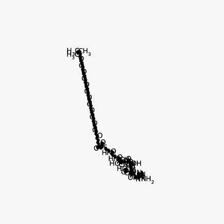 CC(C)(C)CCOCCOCCOCCOCCOCCOCCOCCOCCOCCOCCOCCOCCC(=O)CCCN1C(=O)CC(SCCNC(=O)CCNC(=O)[C@H](O)C(C)(C)COP(=O)(O)OP(=O)(O)OC[C@H]2O[C@@H](n3cnc4c(N)ncnc43)[C@@H](O)C2OP(=O)(O)O)C1=O